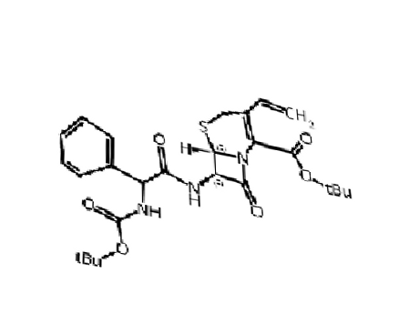 C=CC1=C(C(=O)OC(C)(C)C)N2C(=O)[C@@H](NC(=O)C(NC(=O)OC(C)(C)C)c3ccccc3)[C@@H]2SC1